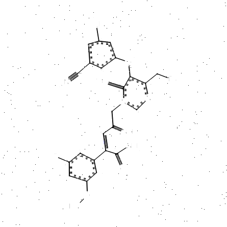 COc1cc(F)cc(/C(=C/C(=N)Cn2cnc(CF)c(Oc3cc(Cl)cc(C#N)c3)c2=O)C(N)=O)c1